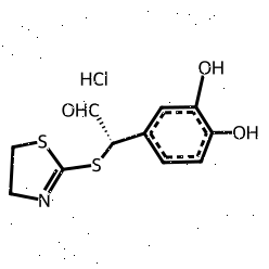 Cl.O=C[C@@H](SC1=NCCS1)c1ccc(O)c(O)c1